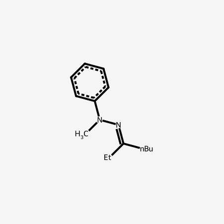 CCCCC(CC)=NN(C)c1ccccc1